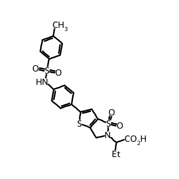 CCC(C(=O)O)N1Cc2sc(-c3ccc(NS(=O)(=O)c4ccc(C)cc4)cc3)cc2S1(=O)=O